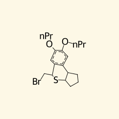 CCCOc1cc2c(cc1OCCC)C1CCCC1SC2CBr